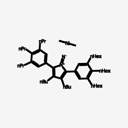 CCCCCCc1cc(C2=C(CCCC)C(CCCC)=C(c3cc(CCC)c(CCC)c(CCC)c3)[N+]2=[N-])cc(CCCCCC)c1CCCCCC.[CH3][Ni][CH3]